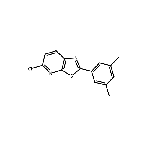 Cc1cc(C)cc(-c2nc3ccc(Cl)nc3s2)c1